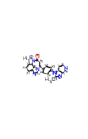 Cc1nc2cnccc2n1-c1ccc(C2=CC(=O)N(C)c3cccc4ncn2c34)cc1